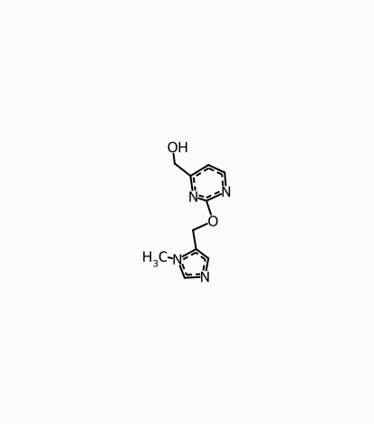 Cn1cncc1COc1nccc(CO)n1